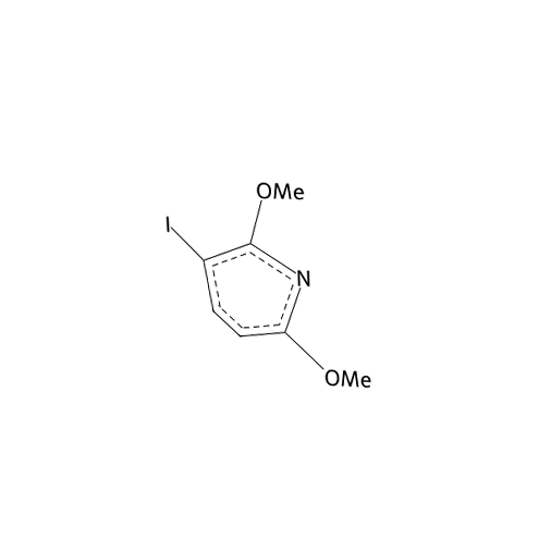 COc1ccc(I)c(OC)n1